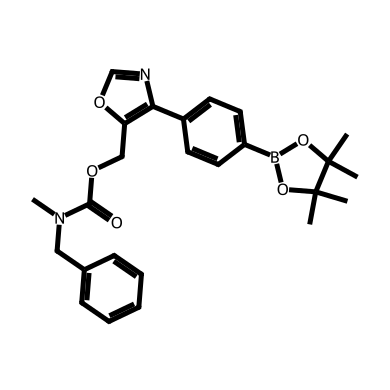 CN(Cc1ccccc1)C(=O)OCc1ocnc1-c1ccc(B2OC(C)(C)C(C)(C)O2)cc1